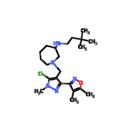 Cc1onc(-c2nn(C)c(Cl)c2CN2CCCCC(NCCC(C)(C)C)C2)c1C